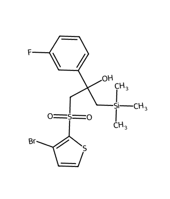 C[Si](C)(C)CC(O)(CS(=O)(=O)c1sccc1Br)c1cccc(F)c1